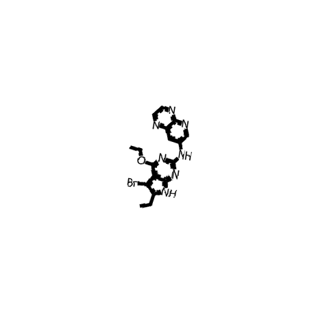 CCOc1nc(Nc2cnc3nccnc3c2)nc2[nH]c(CC)c(Br)c12